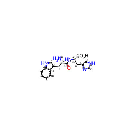 N[C@@H](Cc1c[nH]c2ccccc12)C(=O)N[C@H](Cc1c[nH]cn1)C(=O)O